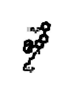 O=C(O)CCCCCOc1cc2ccc(-c3ccccc3C(=O)O)cc2cc1C12CC3CC(CC(C3)C1)C2